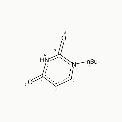 CCCCn1ccc(=O)[nH]c1=O